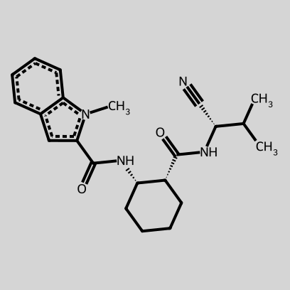 CC(C)[C@@H](C#N)NC(=O)[C@@H]1CCCC[C@@H]1NC(=O)c1cc2ccccc2n1C